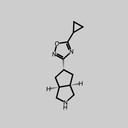 C1CC1c1nc([C@@H]2C[C@H]3CNC[C@H]3C2)no1